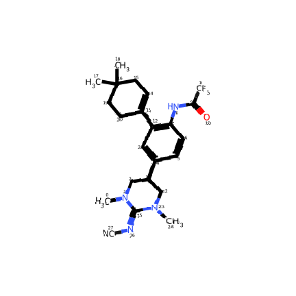 CN1CC(c2ccc(NC(=O)C(F)(F)F)c(C3=CCC(C)(C)CC3)c2)CN(C)C1=NC#N